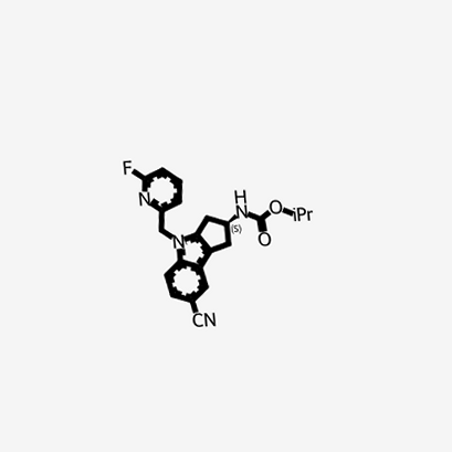 CC(C)OC(=O)N[C@H]1Cc2c(n(Cc3cccc(F)n3)c3ccc(C#N)cc23)C1